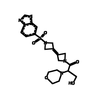 O=C(C(CO)N1CCOCC1)N1CC(=C2CN(S(=O)(=O)c3ccc4ncsc4c3)C2)C1